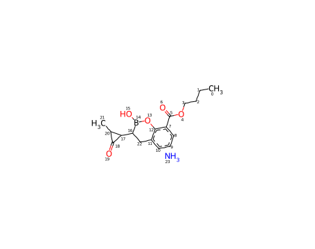 CCCCOC(=O)c1cccc2c1OB(O)C(C1C(=O)C1C)C2.N